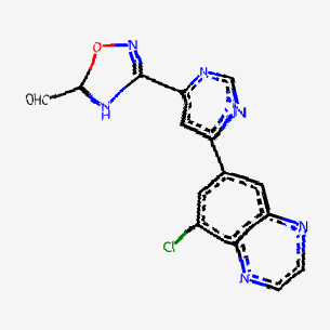 O=CC1NC(c2cc(-c3cc(Cl)c4nccnc4c3)ncn2)=NO1